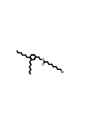 CCCCCCc1ccc(CCOC(=O)CCCCCCCBr)cc1CCCCCC